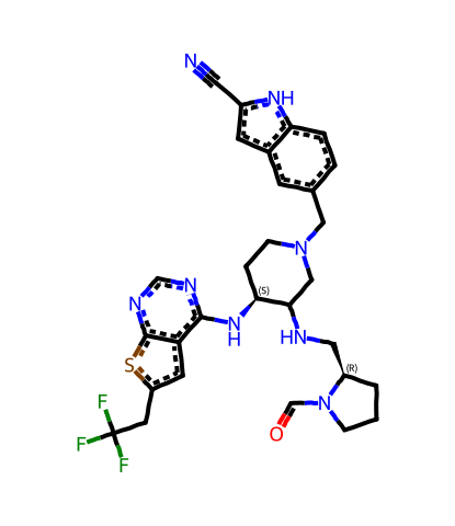 N#Cc1cc2cc(CN3CC[C@H](Nc4ncnc5sc(CC(F)(F)F)cc45)C(NC[C@H]4CCCN4C=O)C3)ccc2[nH]1